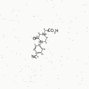 N#Cc1ccc(N2CCN(CC(=O)O)CC2=O)cc1